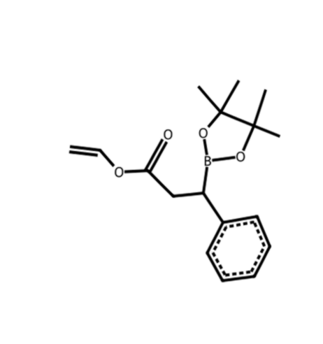 C=COC(=O)CC(B1OC(C)(C)C(C)(C)O1)c1ccccc1